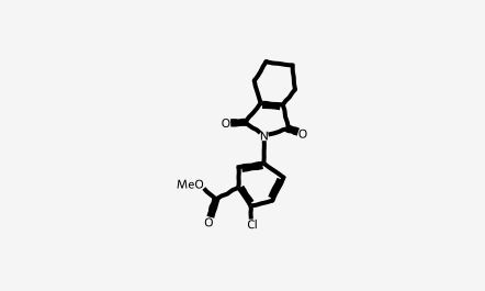 COC(=O)c1cc(N2C(=O)C3=C(CCCC3)C2=O)ccc1Cl